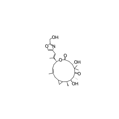 C/C1=C/C[C@@H](/C(C)=C/c2coc(CO)n2)OC(=O)C[C@H](O)C(C)(C)C(=O)[C@H](C)[C@@H](O)[C@@H](C)C2CC2C1